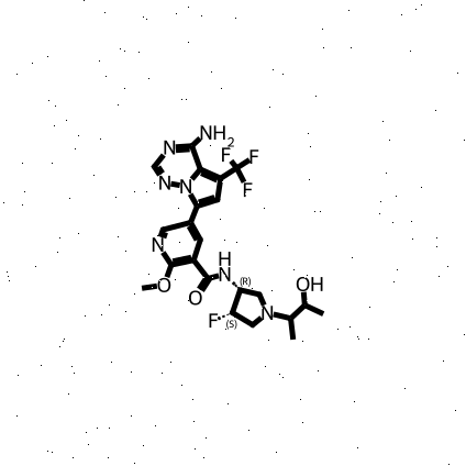 COc1ncc(-c2cc(C(F)(F)F)c3c(N)ncnn23)cc1C(=O)N[C@@H]1CN(C(C)C(C)O)C[C@@H]1F